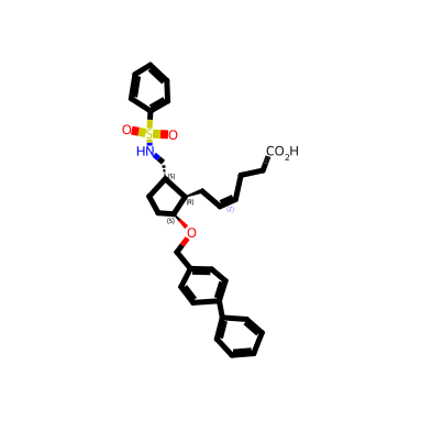 O=C(O)CC/C=C\C[C@@H]1[C@@H](CNS(=O)(=O)c2ccccc2)CC[C@@H]1OCc1ccc(-c2ccccc2)cc1